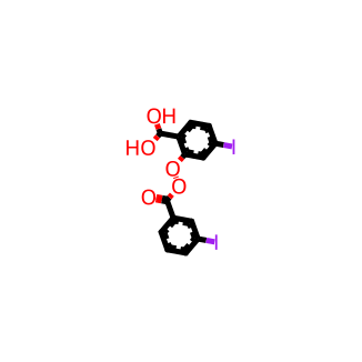 O=C(OOc1cc(I)ccc1C(O)O)c1cccc(I)c1